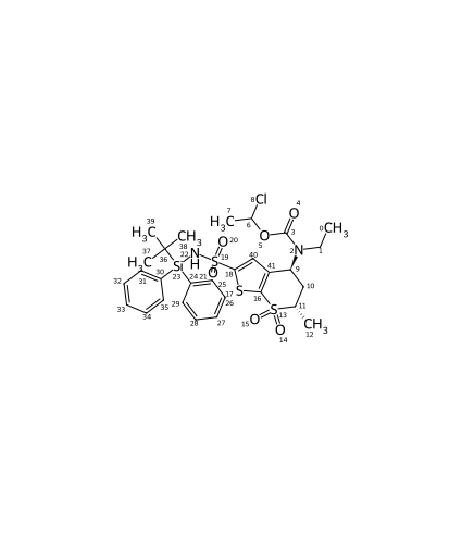 CCN(C(=O)OC(C)Cl)[C@H]1C[C@H](C)S(=O)(=O)c2sc(S(=O)(=O)N[Si](c3ccccc3)(c3ccccc3)C(C)(C)C)cc21